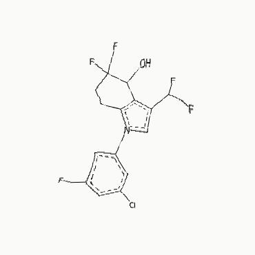 OC1c2c(C(F)F)cn(-c3cc(F)cc(Cl)c3)c2CCC1(F)F